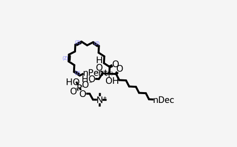 CCCCC/C=C\C/C=C\C/C=C\C/C=C\CCCC(=O)[C@@](O)(C(=O)CCCCCCCCCCCCCCCCC)[C@@H](O)CO.C[N+](C)(C)CCOP(=O)([O-])O